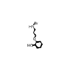 CC(C)NCCCOc1ccccc1O